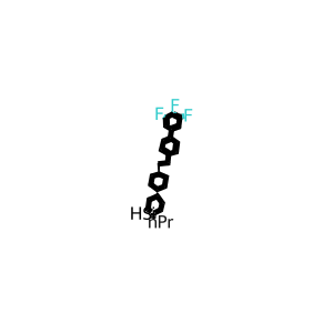 CCC[SiH]1CCC([C@H]2CC[C@H](CCc3ccc(-c4cc(F)c(F)c(F)c4)cc3)CC2)CC1